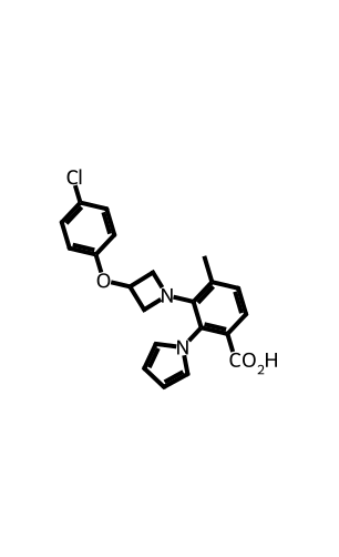 Cc1ccc(C(=O)O)c(-n2cccc2)c1N1CC(Oc2ccc(Cl)cc2)C1